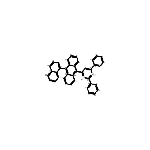 c1ccc(-c2cc(-c3c4ccccc4c(-c4cccc5ccccc45)c4ccccc34)nc(-c3ccccc3)n2)cc1